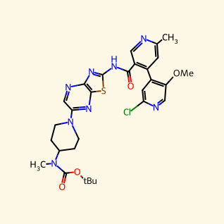 COc1cnc(Cl)cc1-c1cc(C)ncc1C(=O)Nc1nc2ncc(N3CCC(N(C)C(=O)OC(C)(C)C)CC3)nc2s1